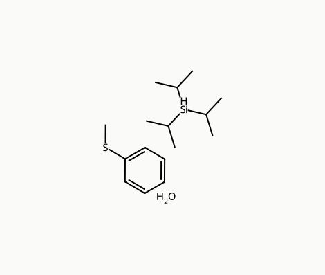 CC(C)[SiH](C(C)C)C(C)C.CSc1ccccc1.O